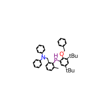 Cc1cccc(CN(c2ccccc2)c2ccccc2)c1Pc1cc(C(C)(C)C)cc(C(C)(C)C)c1OCc1ccccc1